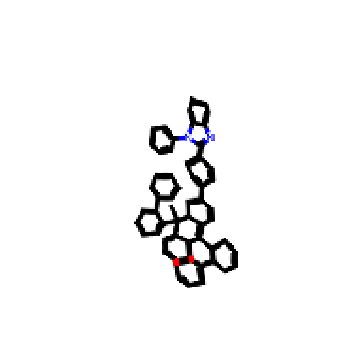 CC1(C2=CC=CCC2c2ccccc2)c2ccccc2C(C2CC=CCC2c2ccccc2)=C2C=CC(c3ccc(-c4nc5ccccc5n4-c4ccccc4)cc3)=CC21